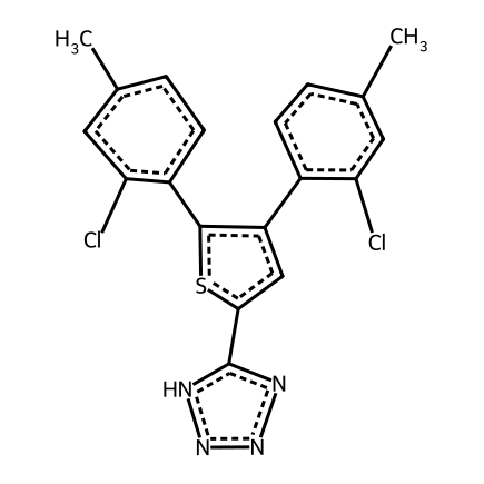 Cc1ccc(-c2cc(-c3nnn[nH]3)sc2-c2ccc(C)cc2Cl)c(Cl)c1